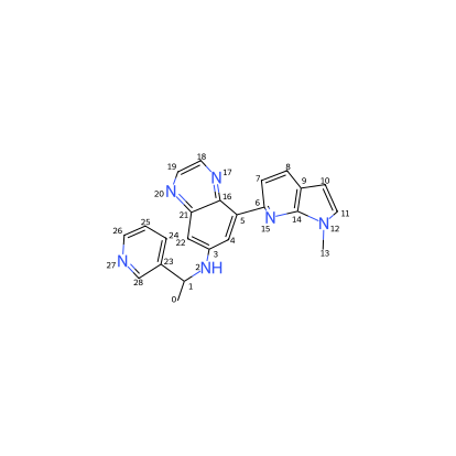 CC(Nc1cc(-c2ccc3ccn(C)c3n2)c2nccnc2c1)c1cccnc1